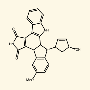 COc1ccc2c(c1)C1C3=C(C(=O)NC3=O)c3c([nH]c4ccccc34)C1N2C1C=C[C@@H](O)C1